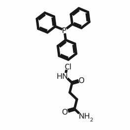 NC(=O)CCC(=O)NCl.c1ccc(P(c2ccccc2)c2ccccc2)cc1